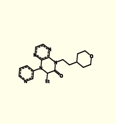 CCC1C(=O)N(CCC2CCOCC2)c2nccnc2N1c1cccnc1